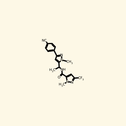 CC(NC(=O)c1cc(C(F)(F)F)nn1C)c1cc(-c2ccc(C#N)cc2)nn1C